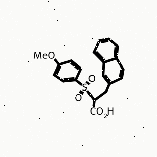 COc1ccc(S(=O)(=O)C(Cc2ccc3ccccc3c2)C(=O)O)cc1